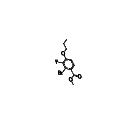 CCCOc1ccc(C(=O)OC)c(Br)c1F